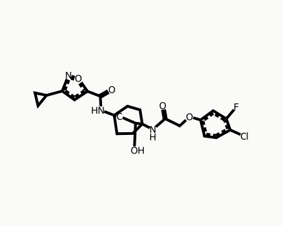 O=C(COc1ccc(Cl)c(F)c1)NC12CCC(NC(=O)c3cc(C4CC4)no3)(CC1)CC2O